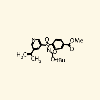 C=C(C)c1cncc(S(=O)(=NC(=O)OC(C)(C)C)c2ccc(C(=O)OC)cc2)c1